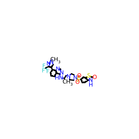 CC(CN1CCN(S(=O)(=O)c2ccc3[nH]c(=O)sc3c2)CC1)Nc1ncnc2c(-c3cn(C)nc3C(F)(F)F)cccc12